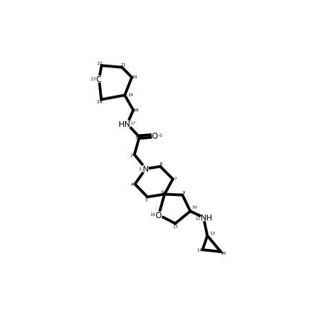 O=C(CN1CCC2(CC1)CC(NC1CC1)CO2)NCC1CCCCC1